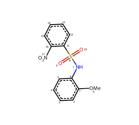 COc1ccccc1NS(=O)(=O)c1ccccc1[N+](=O)[O-]